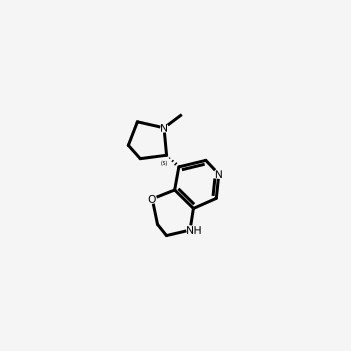 CN1CCC[C@H]1c1cncc2c1OCCN2